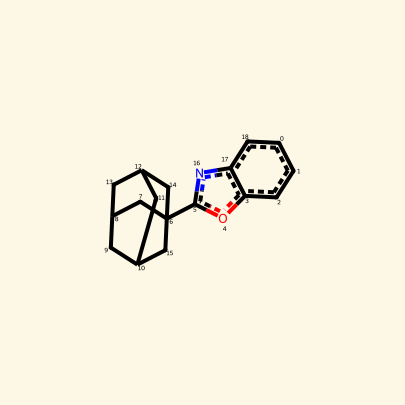 c1ccc2oc(C34CC5CC(CC(C5)C3)C4)nc2c1